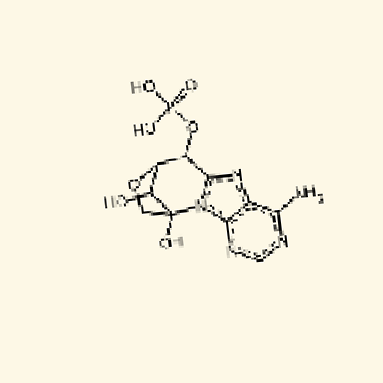 Nc1ncnc2c1nc1n2C2(O)COC(C1OP(=O)(O)O)C2O